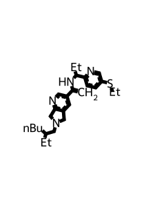 C=C(NC(CC)c1ccc(SCC)cn1)c1cnc2c(c1)CN(CC(CC)CCCC)C2